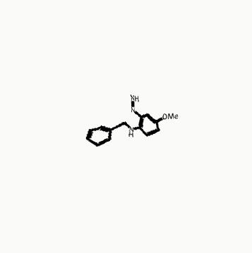 COc1ccc(NCc2ccccc2)c(N=N)c1